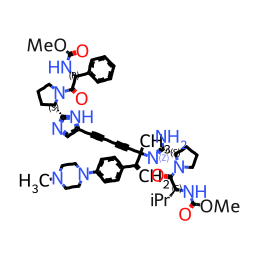 C=C(c1ccc(N2CCN(C)CC2)cc1)C(C)(C#CC#Cc1cnc([C@@H]2CCCN2C(=O)[C@H](NC(=O)OC)c2ccccc2)[nH]1)/N=C(\N)[C@@H]1CCCN1C(=O)[C@@H](NC(=O)OC)C(C)C